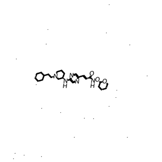 O=C(/C=C/c1cnc(N[C@@H]2CCCN(CCC3CCCCC3)C2)cn1)NOC1CCCCO1